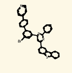 Brc1cc(-c2ccc(-c3ccncc3)cc2)cc(-c2cc(-c3ccc4sc5ccccc5c4c3)nc(-c3ccccc3)n2)c1